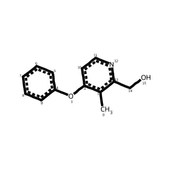 Cc1c(Oc2ccccc2)ccnc1CO